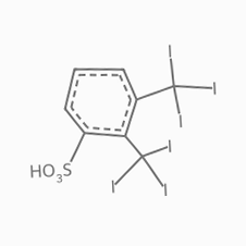 O=S(=O)(O)c1cccc(C(I)(I)I)c1C(I)(I)I